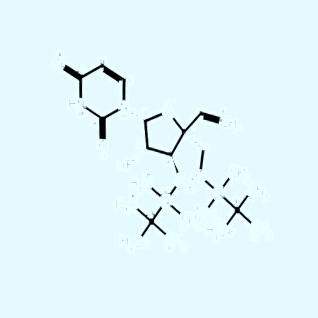 C=C[C@]1(CO[Si](C)(C)C(C)(C)C)O[C@@H](n2ccc(=O)[nH]c2=O)[C@@H](F)[C@@H]1O[Si](C)(C)C(C)(C)C